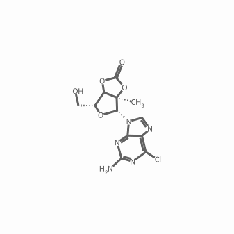 C[C@@]12OC(=O)OC1[C@@H](CO)O[C@H]2n1cnc2c(Cl)nc(N)nc21